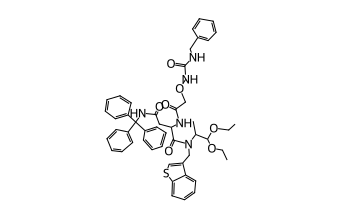 CCOC(OCC)C(C)N(Cc1csc2ccccc12)C(=O)C(CC(=O)NC(c1ccccc1)(c1ccccc1)c1ccccc1)NC(=O)CONC(=O)NCc1ccccc1